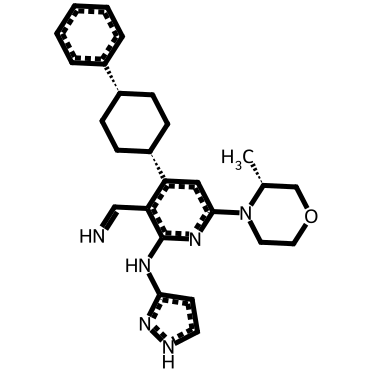 C[C@@H]1COCCN1c1cc([C@H]2CC[C@@H](c3ccccc3)CC2)c(C=N)c(Nc2cc[nH]n2)n1